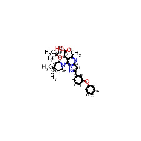 Cc1nc2cc(-c3cccc(Oc4ccccc4)c3)nn2c(N2CCC(C)(C)CC2)c1[C@H](OC(C)(C)C)C(=O)O